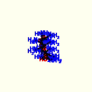 N=C(N)NCCCC[C@H](NC(=O)[C@H](CCCNC(=N)N)NC(=O)[C@H](CCCNC(=N)N)NC(=O)[C@@H](N)CCCNC(=N)N)C(=O)N[C@@H](CCCNC(=N)N)C(=O)N[C@@H](CCCNC(=N)N)C(=O)N[C@@H](CCCNC(=N)N)C(=O)N[C@@H](CCCNC(=N)N)C(=O)N[C@@H](CCCNC(=N)N)C(=O)O